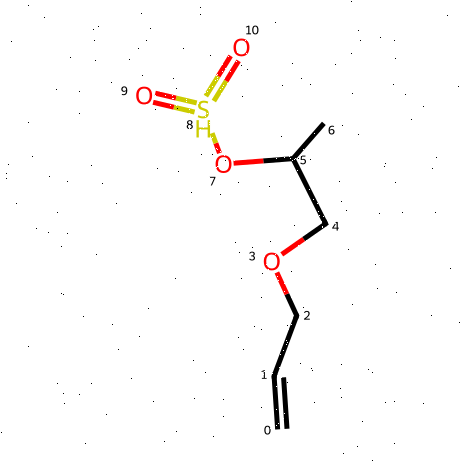 C=CCOCC(C)O[SH](=O)=O